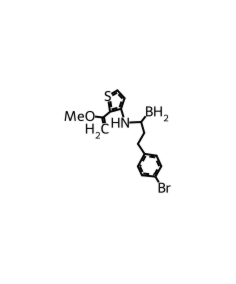 BC(CCc1ccc(Br)cc1)Nc1ccsc1C(=C)OC